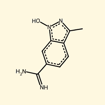 Cc1nn(O)c2cc(C(=N)N)ccc12